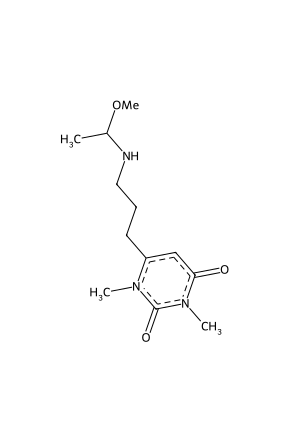 COC(C)NCCCc1cc(=O)n(C)c(=O)n1C